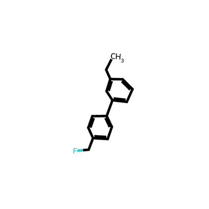 CCc1cccc(-c2ccc(CF)cc2)c1